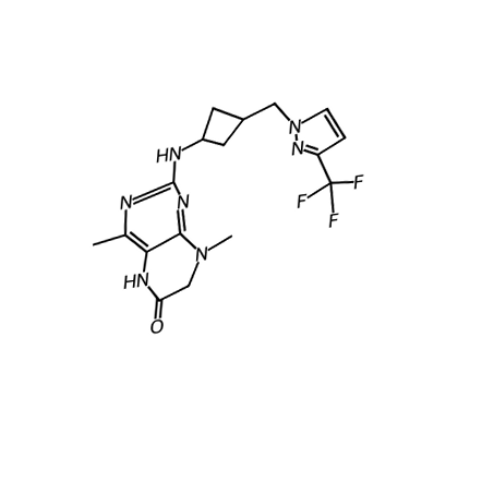 Cc1nc(NC2CC(Cn3ccc(C(F)(F)F)n3)C2)nc2c1NC(=O)CN2C